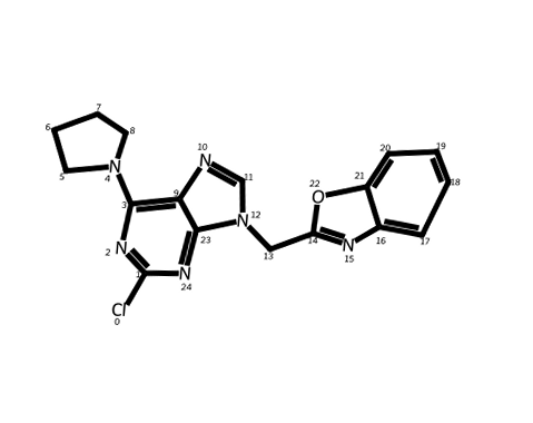 Clc1nc(N2CCCC2)c2ncn(Cc3nc4ccccc4o3)c2n1